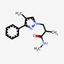 CNC(=O)C(C)Cn1cc(C)c(-c2ccccc2)n1